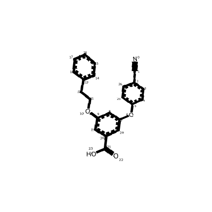 N#Cc1ccc(Oc2cc(OCCc3ccccc3)cc(C(=O)O)c2)cc1